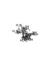 C[C@H](NC(=O)CNC(=O)[C@H](CCCNC(=N)N)NC(=O)[C@H](CCCCN)NC(=O)[C@@H](N)CS)C(=O)N[C@@H](CCCNC(=N)N)C(=O)N[C@@H](CO)C(=O)N[C@H](C(=O)N[C@@H](CS)C(=O)O)[C@@H](C)O